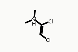 C[SiH](C)C(Cl)=CCl